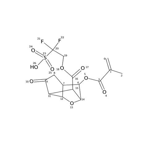 C=C(C)C(=O)OC1C2CC(=O)C3C2OC1C3C(=O)OCC(F)(F)S(=O)(=O)O